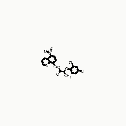 CC(Oc1ccc(Cl)cc1Cl)C(=O)OOc1ccc([N+](=O)[O-])c2cccnc12